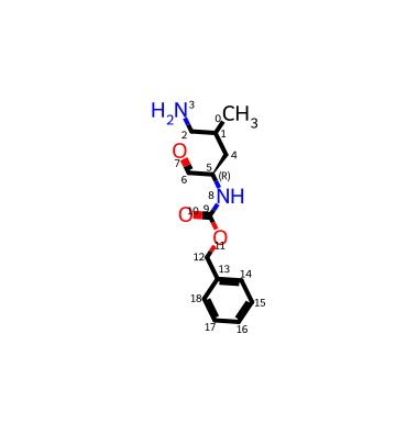 CC(CN)C[C@H](C=O)NC(=O)OCc1ccccc1